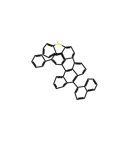 c1ccc(-c2cccc(-c3c4ccccc4c(-c4cccc5ccccc45)c4cccc(-c5ccc6sc7ccccc7c6c5)c34)c2)cc1